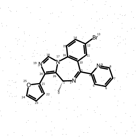 C[C@H]1N=C(c2ccccn2)c2cc(Br)ccc2-n2cnc(-c3ccco3)c21